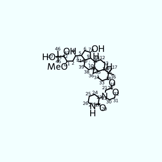 COC(C[C@@H](C)C1C[C@H](O)[C@@]2(C)[C@@H]3CC[C@H]4C(C)(C)[C@@H](OC5CN([C@@H]6CCCNC6=O)CCO5)CC[C@@]45CC35CC[C@]12C)[C@H](O)C(C)(C)O